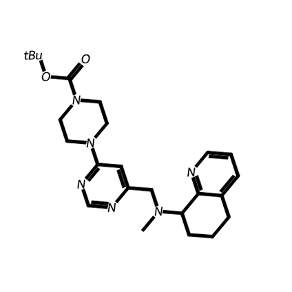 CN(Cc1cc(N2CCN(C(=O)OC(C)(C)C)CC2)ncn1)C1CCCc2cccnc21